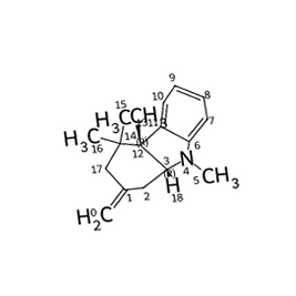 C=C1C[C@H]2N(C)c3ccccc3[C@@]2(C)C(C)(C)C1